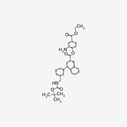 CCOC(=O)c1ccc(OC(=O)c2cc(-c3cccc(CNC(=O)OC(C)(C)C)c3)c3ccccc3c2)c(N)c1